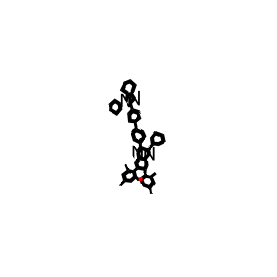 Cc1cc(C)c(-c2cc3nc(-c4ccccc4)c(-c4ccc(-c5ccc(-c6nc7ccccc7n6-c6ccccc6)cc5)cc4)nc3cc2-c2c(C)cc(C)cc2C)c(C)c1